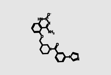 NC1=N[S+]([O-])Nc2cccc(OCC3CCCN(C(=O)c4cccc(-n5ccnc5)c4)C3)c21